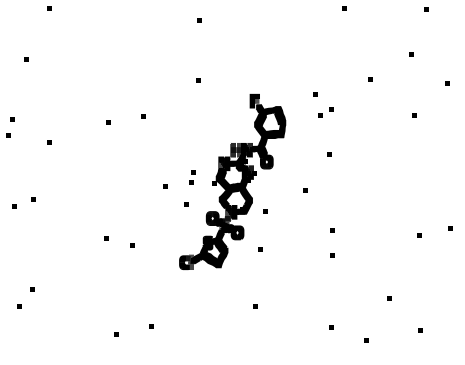 O=C(Nc1ncc2c(n1)CCN(S(=O)(=O)c1ccc(Cl)s1)C2)c1cccc(F)c1